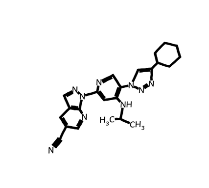 CC(C)Nc1cc(-n2ncc3cc(C#N)cnc32)ncc1-n1cc(C2CCCCC2)nn1